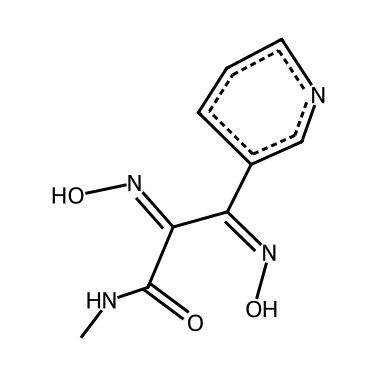 CNC(=O)C(=NO)C(=NO)c1cccnc1